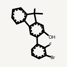 CC1(C)c2ccccc2-c2cc(-c3cccc(Br)c3F)c(O)cc21